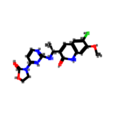 COc1cc2[nH]c(=O)c([C@@H](C)Nc3nccc(N4CCOC4=O)n3)cc2cc1Cl